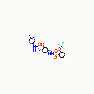 COc1cc(CNS(=O)(=O)c2ccccc2OC(F)(F)F)ccc1NC(=O)Nc1cnc(C)cn1